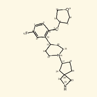 Fc1ccc(OC2CCOCC2)c(C2CCN(C3CCC4(CNC4)C3)CC2)c1